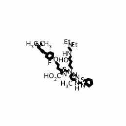 CCN(CC)CCNCC(O)CCCN(c1cc(C)c(Nc2nc3ccccc3s2)nn1)c1nc(C(=O)O)c(CCCOc2ccc(C#CCN(C)C)cc2F)s1